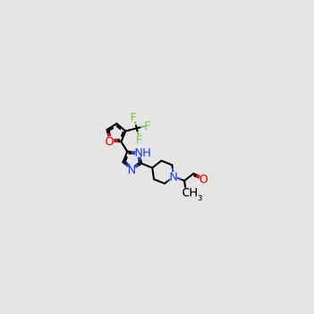 CC(C=O)N1CCC(c2ncc(-c3occc3C(F)(F)F)[nH]2)CC1